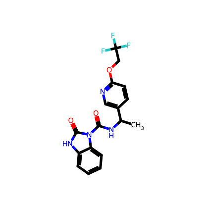 CC(NC(=O)n1c(=O)[nH]c2ccccc21)c1ccc(OCC(F)(F)F)nc1